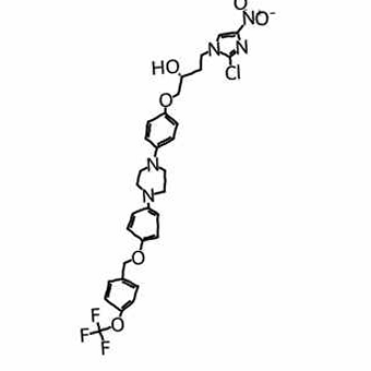 O=[N+]([O-])c1cn(CC[C@@H](O)COc2ccc(N3CCN(c4ccc(OCc5ccc(OC(F)(F)F)cc5)cc4)CC3)cc2)c(Cl)n1